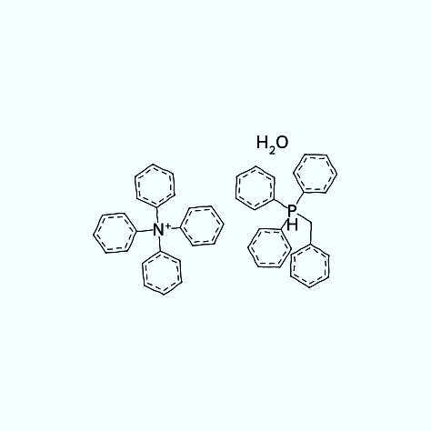 O.c1ccc(C[PH](c2ccccc2)(c2ccccc2)c2ccccc2)cc1.c1ccc([N+](c2ccccc2)(c2ccccc2)c2ccccc2)cc1